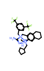 CCN(CC1CCCC1)c1cc2c(cc1C[N+]1(Cc3cc(C(F)(F)F)cc(C(F)(F)F)c3)C(N)=NNN1C)CCCC2